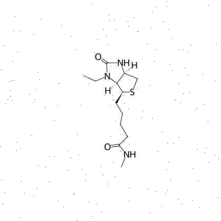 CCN1C(=O)N[C@H]2CS[C@@H](CCCCC(=O)NC)[C@H]21